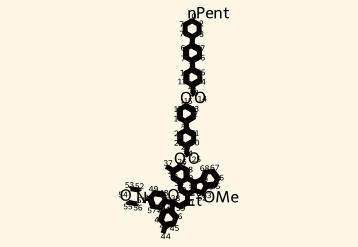 CCCCCC1CCC(c2ccc(-c3ccc(C(=O)Oc4ccc(-c5ccc(C(=O)Oc6cc7c8c(c9c(c7cc6C)OC(c6ccc(C)cc6)(c6ccc(N7CCOCC7)cc6)C=C9)C(CC)(OC)c6ccccc6-8)cc5)cc4)cc3)cc2)CC1